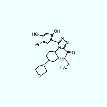 CC(C)c1cc(-c2nnc(C(=O)NCC(F)(F)F)n2C2CCC(N3CCOCC3)CC2)c(O)cc1O